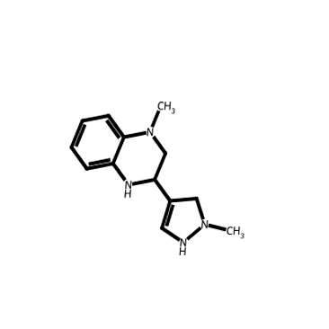 CN1CC(C2CN(C)c3ccccc3N2)=CN1